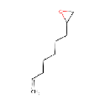 C=CCCCCCC1CO1